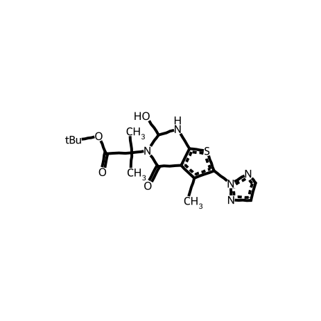 Cc1c(-n2nccn2)sc2c1C(=O)N(C(C)(C)C(=O)OC(C)(C)C)C(O)N2